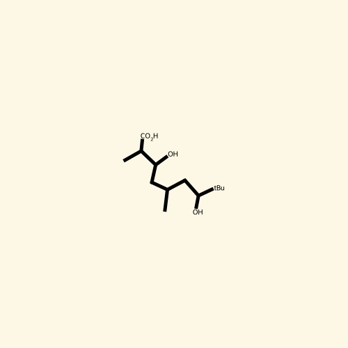 CC(CC(O)C(C)C(=O)O)CC(O)C(C)(C)C